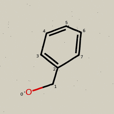 [O]Cc1cc[c]cc1